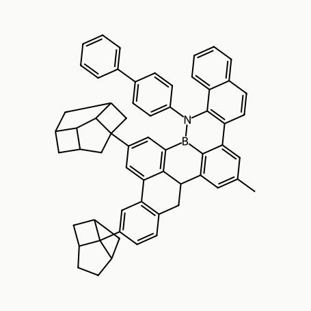 Cc1cc2c3c(c1)C1Cc4ccc(C56C7CCC5CC6C7)cc4-c4cc(C56CC7CC8CC(C5)C6C87)cc(c41)B3N(c1ccc(-c3ccccc3)cc1)c1c-2ccc2ccccc12